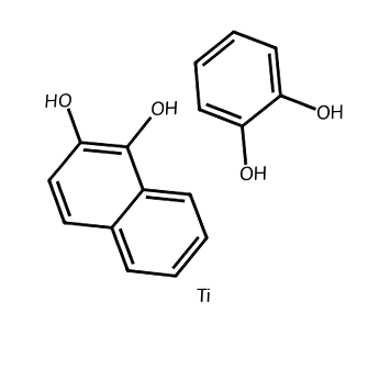 Oc1ccc2ccccc2c1O.Oc1ccccc1O.[Ti]